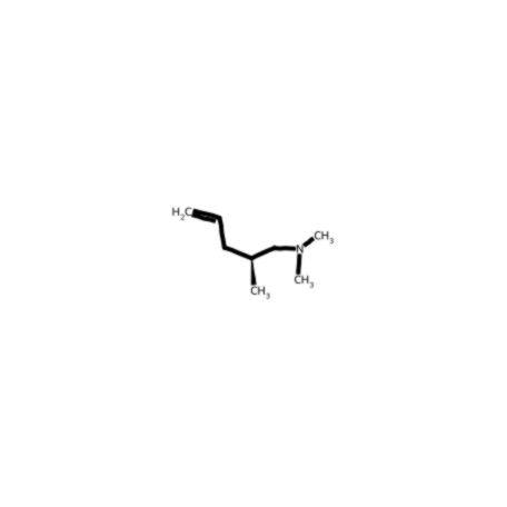 C=CC[C@H](C)[CH]N(C)C